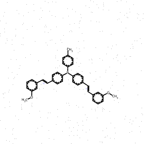 COc1cccc(/C=C/c2ccc(N(c3ccc(C)cc3)c3ccc(/C=C/c4cccc(OC)c4)cc3)cc2)c1